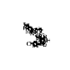 CCn1c(CSc2nnc(Cc3cc(C)nn3C)n2CC2CCCO2)nc2c1c(=O)[nH]c(=O)n2Cc1ccc(Cl)cc1